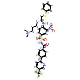 CN(C)CCCC[C@H](CSc1ccccc1)Nc1ccc(S(=O)(=O)NC(=O)c2ccc(-c3ccc(C(F)(F)F)cn3)cc2)cc1[N+](=O)[O-]